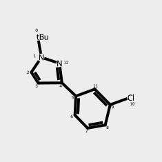 CC(C)(C)n1ccc(-c2cccc(Cl)c2)n1